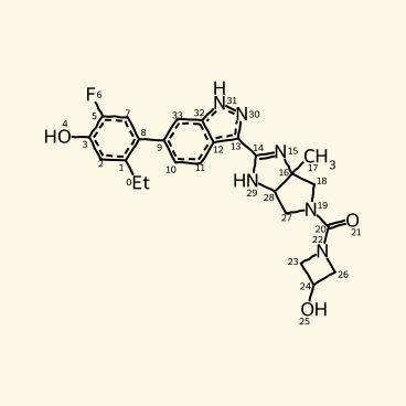 CCc1cc(O)c(F)cc1-c1ccc2c(C3=NC4(C)CN(C(=O)N5CC(O)C5)CC4N3)n[nH]c2c1